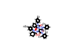 CCCCc1ccc(N2C(=O)N(C(C(=O)Nc3c(CC)cccc3CC)C(C(=O)Nc3c(CC)cccc3CC)N3C(=O)N(c4ccc(CC)cc4)C4(CCCC4)C3=O)C(=O)C23CCCCC3)cc1